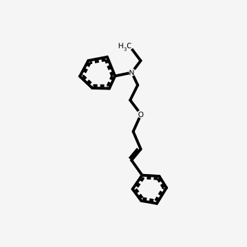 CCN(CCOCC=Cc1ccccc1)c1ccccc1